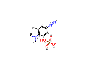 Cc1cc([N+]#N)ccc1N(C)C.O=S(=O)([O-])O